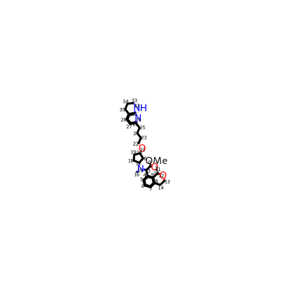 COC(=O)C(c1cccc2c1[C@@H](C)OCC2)N(C)[C@H]1CC[C@H](OCCCCc2ccc3c(n2)NCCC3)C1